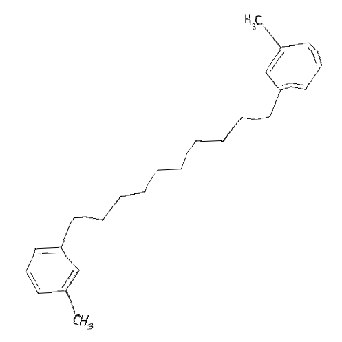 Cc1cccc(CCCCCCCCCCc2cccc(C)c2)c1